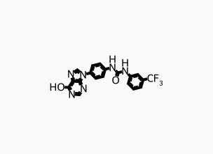 O=C(Nc1ccc(-n2cnc3c(O)ncnc32)cc1)Nc1cccc(C(F)(F)F)c1